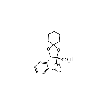 CC1(C(=O)O)OC2(CCCCC2)O[C@H]1c1ccccc1[N+](=O)[O-]